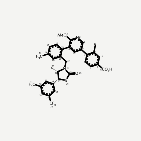 COc1ncc(-c2ccc(C(=O)O)cc2C)cc1-c1ccc(C(F)(F)F)cc1CN1C(=O)S[C@H](c2cc(C(F)(F)F)cc(C(F)(F)F)c2)[C@@H]1C